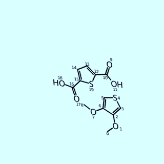 COc1cscc1OC.O=C(O)c1ccc(C(=O)O)s1